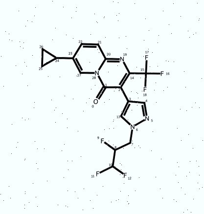 O=c1c(-c2cnn(CC(F)C(F)F)c2)c(C(F)(F)F)nc2ccc(C3CC3)cn12